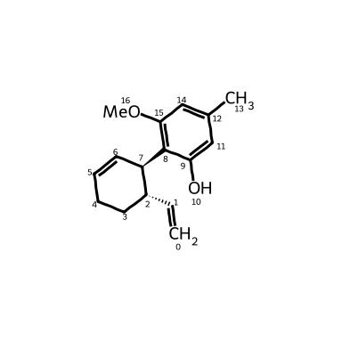 C=C[C@@H]1CCC=C[C@H]1c1c(O)cc(C)cc1OC